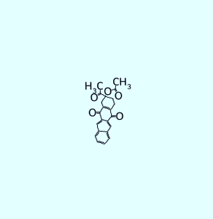 CC(=O)OC1(C(C)=O)CCC2=C(C1)C(=O)c1cc3ccccc3cc1C2=O